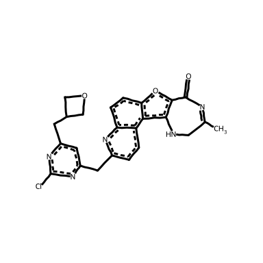 CC1=NC(=O)c2oc3ccc4nc(Cc5cc(CC6COC6)nc(Cl)n5)ccc4c3c2NC1